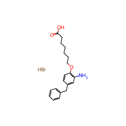 Br.Nc1cc(Cc2ccccc2)ccc1OCCCCCCC(=O)O